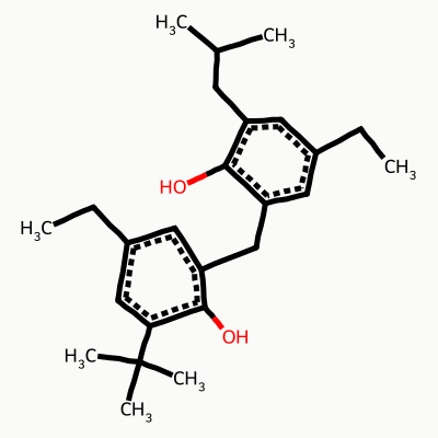 CCc1cc(Cc2cc(CC)cc(C(C)(C)C)c2O)c(O)c(CC(C)C)c1